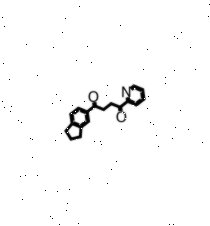 O=C(CCC(=O)c1ccccn1)c1ccc2c(c1)CCC2